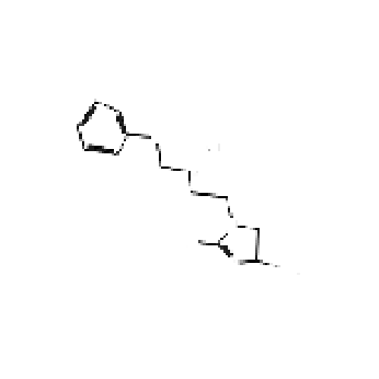 CC1=NC(C)CN1CC[C@@H](N)CSc1ccccc1